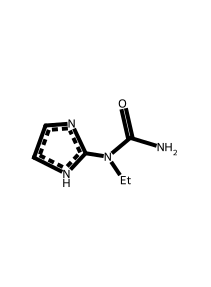 CCN(C(N)=O)c1ncc[nH]1